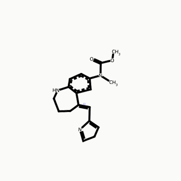 COC(=O)N(C)c1ccc2c(c1)/C(=C/C1=CCC=N1)CCCN2